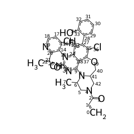 C=CC(=O)N1CC(C)N2c3nc(=O)n(-c4c(C)ccnc4C(C)C)c4c(F)c(-c5ccccc5O)c(Cl)c(c34)OCC2C1